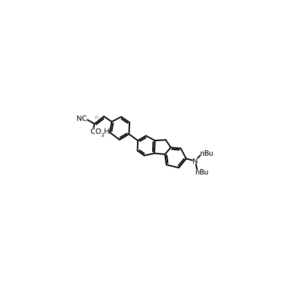 CCCCN(CCCC)c1ccc2c(c1)Cc1cc(-c3ccc(/C=C(/C#N)C(=O)O)cc3)ccc1-2